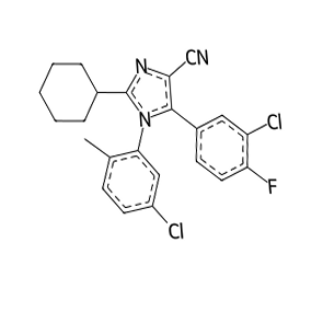 Cc1ccc(Cl)cc1-n1c(C2CCCCC2)nc(C#N)c1-c1ccc(F)c(Cl)c1